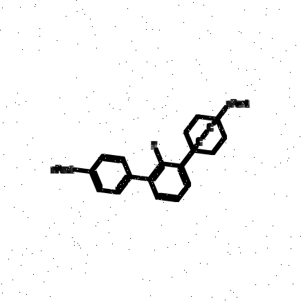 CCCCCc1ccc(-c2cccc(C34CCC(CCCCC)(CC3)CC4)c2F)cc1